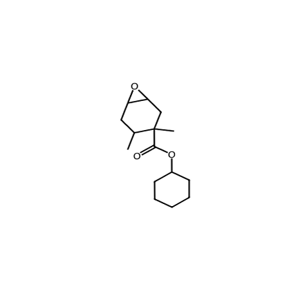 CC1CC2OC2CC1(C)C(=O)OC1CCCCC1